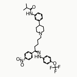 CC(C)C(=O)Nc1cccc(C2CCN(CCCCC(=NNc3ccc(OC(F)(F)F)cc3)c3ccc([N+](=O)[O-])cc3)CC2)c1